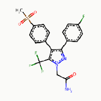 CS(=O)(=O)c1ccc(-c2c(-c3ccc(F)cc3)nn(CC(N)=O)c2C(F)(F)F)cc1